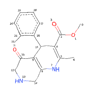 COC(=O)C1=C(C)NC2=C(C(=O)CNC2)C1c1ccccc1C